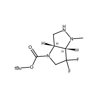 CN1NC[C@@H]2[C@H]1C(F)(F)CN2C(=O)OC(C)(C)C